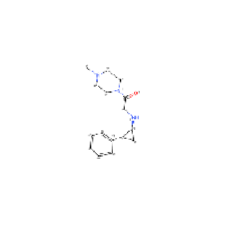 CN1CCN(C(=O)CN[C@H]2CC2c2ccccc2)CC1